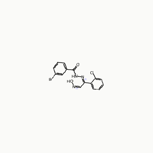 O=C(N/N=C(\C=N/O)c1ccccc1Cl)c1cccc(Br)c1